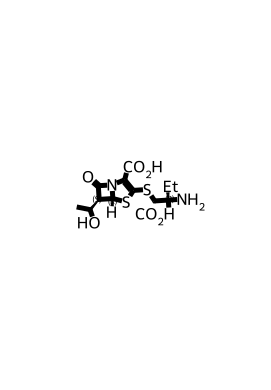 CC[C@](N)(CSC1=C(C(=O)O)N2C(=O)[C@H](C(C)O)[C@H]2S1)C(=O)O